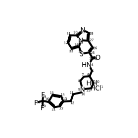 Cl.Cl.O=C(NCC1CCN(CCCc2ccc(C(F)(F)F)cc2)CC1)C1=Cc2cnc3cccc(n23)S1